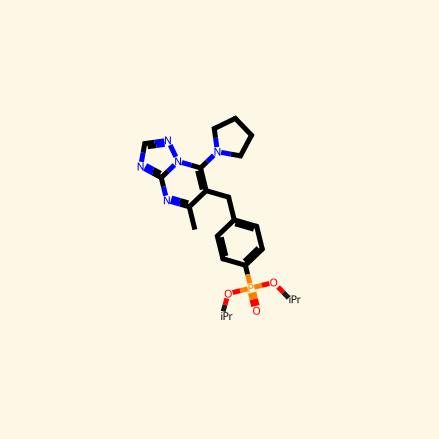 Cc1nc2ncnn2c(N2CCCC2)c1Cc1ccc(P(=O)(OC(C)C)OC(C)C)cc1